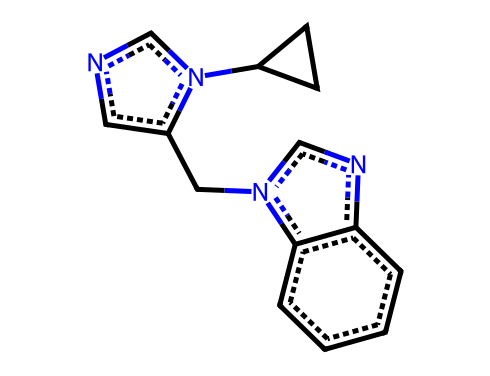 c1ccc2c(c1)ncn2Cc1cncn1C1CC1